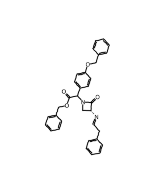 O=C(OCc1ccccc1)C(c1ccc(OCc2ccccc2)cc1)N1C[C@@H](N=CCc2ccccc2)C1=O